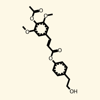 COc1cc(/C=C/C(=O)Oc2ccc(CCO)cc2)cc(OC)c1OC(C)=O